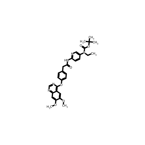 CCN(C(=O)OC(C)(C)C)c1ccc(NC(=O)Cc2ccc(Oc3ncnc4cc(OC)c(OC)cc34)cc2)nc1